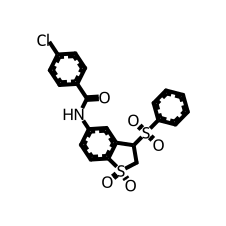 O=C(Nc1ccc2c(c1)C(S(=O)(=O)c1ccccc1)CS2(=O)=O)c1ccc(Cl)cc1